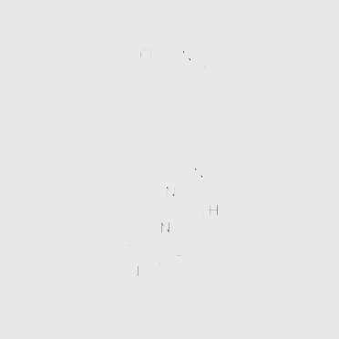 Cc1nc(C#Cc2ccnc(Cl)c2)cn1-c1cccc(C(F)(F)F)n1